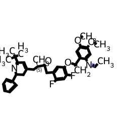 C=C(Oc1cc(CC(=O)[C@@H](C)CC2=CC(C(C)(C)C)=NC(c3ccccc3)C2)c(F)cc1F)c1cc(OC)c(OC)cc1/N=C\C